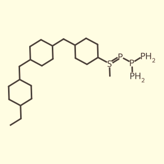 CCC1CCC(CC2CCC(CC3CCC(/S(C)=P/P(P)P)CC3)CC2)CC1